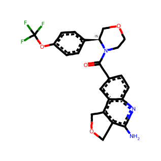 Nc1nc2ccc(C(=O)N3CCOC[C@@H]3c3ccc(OC(F)(F)F)cc3)cc2c2c1COC2